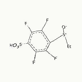 CC[S+]([O-])c1c(F)c(F)c(S(=O)(=O)O)c(F)c1F